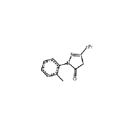 CCCC1=NN(c2ccccc2C)C(=O)C1